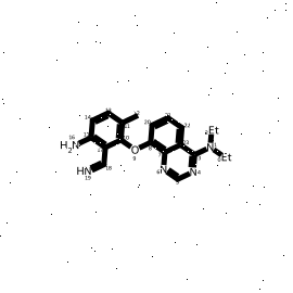 CCN(CC)c1ncnc2c(Oc3c(C)ccc(N)c3C=N)cccc12